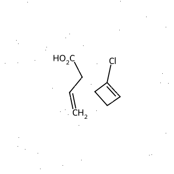 C=CCC(=O)O.ClC1=CCC1